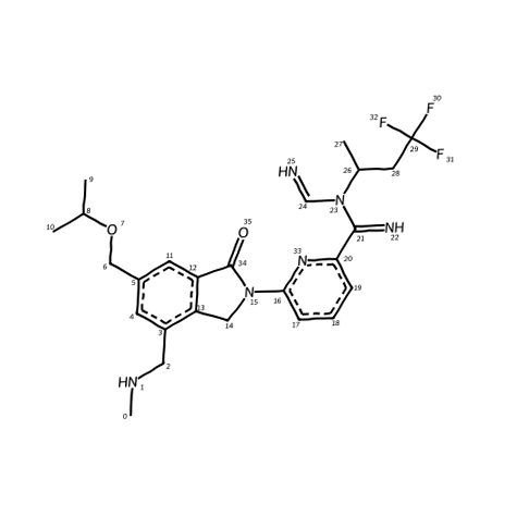 CNCc1cc(COC(C)C)cc2c1CN(c1cccc(C(=N)N(C=N)C(C)CC(F)(F)F)n1)C2=O